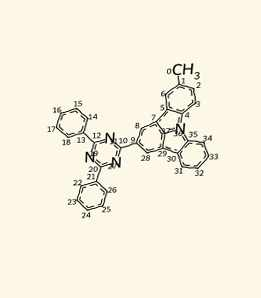 Cc1ccc2c(c1)c1cc(-c3nc(-c4ccccc4)nc(-c4ccccc4)n3)cc3c4ccccc4n2c31